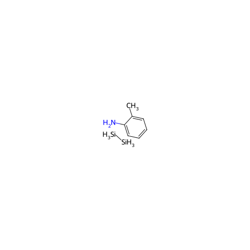 Cc1ccccc1N.[SiH3][SiH3]